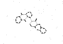 O=C1c2ccccc2C(=O)c2c1cccc2C1C=Cc2nc3ccccc3cc2C1=O